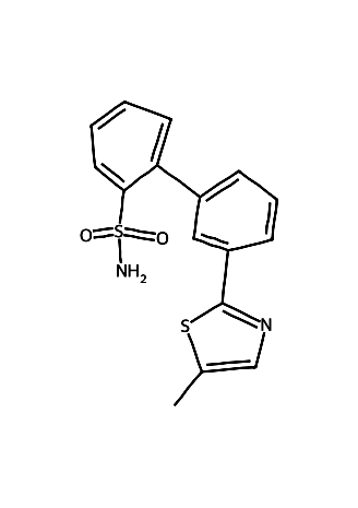 Cc1cnc(-c2cccc(-c3ccccc3S(N)(=O)=O)c2)s1